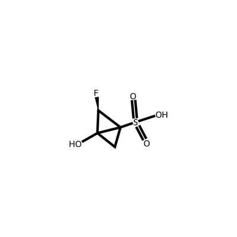 O=S(=O)(O)C12CC1(O)[C@H]2F